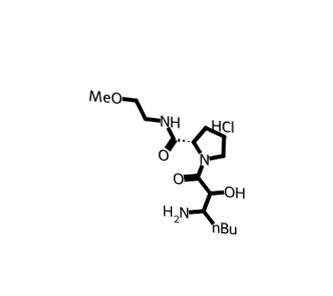 CCCCC(N)C(O)C(=O)N1CCC[C@H]1C(=O)NCCOC.Cl